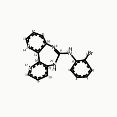 Brc1ccccc1NC1=Nc2cccnc2-c2ncccc2N1